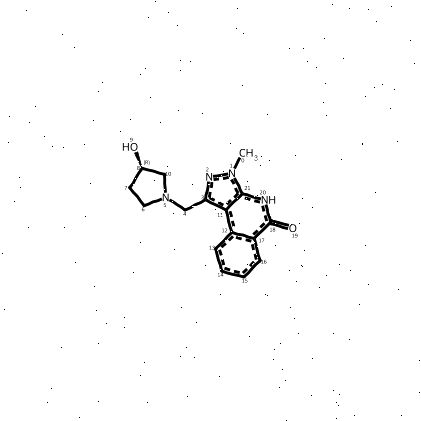 Cn1nc(CN2CC[C@@H](O)C2)c2c3ccccc3c(=O)[nH]c21